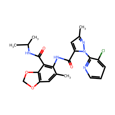 Cc1cc(C(=O)Nc2c(C)cc3c(c2C(=O)NC(C)C)OCO3)n(-c2ncccc2Cl)n1